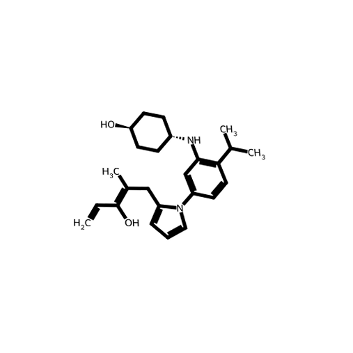 C=C/C(O)=C(\C)Cc1cccn1-c1ccc(C(C)C)c(N[C@H]2CC[C@H](O)CC2)c1